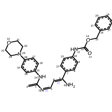 C=C(/N=C\C=C(/N)c1ccc(NC(=O)OCc2ccccc2)cc1)Nc1ccc(N2CCOCC2)cc1